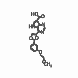 COCCOc1cccc(C2OC=C(c3ncnc4c(C(=O)O)c[nH]c34)O2)c1